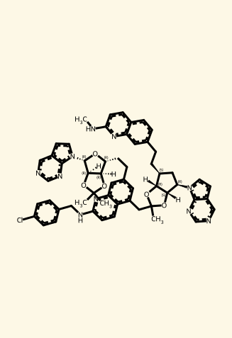 CNc1ccc2ccc(CC[C@H]3C[C@@H](n4ccc5cncnc54)[C@@H]4OC(C)(Cc5cc(CC[C@H]6O[C@@H](n7ccc8cncnc87)[C@@H]7OC(C)(C)O[C@@H]76)cc6nc(NCc7ccc(Cl)cc7)ccc56)O[C@H]34)cc2n1